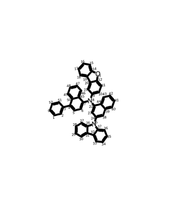 c1ccc(-c2ccc(N(c3ccc4oc5ccccc5c4c3)c3cc(-n4c5ccccc5c5ccccc54)cc4ccccc34)c3ccccc23)cc1